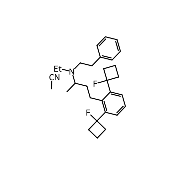 CC#N.CCN(CCc1ccccc1)C(C)CCc1c(C2(F)CCC2)cccc1C1(F)CCC1